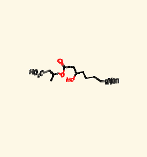 CCCCCCCCCCCCCC(O)CC(=O)OC(C)CC(=O)O